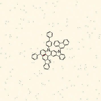 c1ccc(-c2ccc(N(c3ccc(-c4ccccc4)cc3)c3cc4c(cc3-c3cccc5c3sc3ccccc35)c3ccccc3n4-c3cc4ccccc4c4ccccc34)cc2)cc1